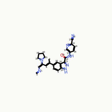 C=N/C=C(\C=C(/C)c1ccc2[nH]nc(C(=O)Nc3ccc(C#N)nc3)c2c1)N1CCCC1